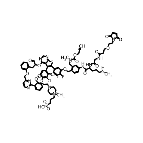 C#CCOC(=O)N(C)Cc1cc(NC(=O)C(CCCNC)NC(=O)CNC(=O)CCOCCN2C(=O)C=CC2=O)ccc1COc1cc(-c2sc3ncnc(OC(C=O)Cc4ccccc4OCc4ccnc(-c5ccccc5OC)n4)c3c2-c2ccc(OCCN3CC[N+](C)(CCCS(=O)(=O)O)CC3)c(Cl)c2C)ccc1F